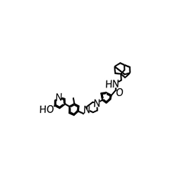 Cc1cc(CN2CCN(c3ccc(C(=O)NCC45CC6CC(CC(C6)C4)C5)cc3)CC2)ccc1-c1cncc(O)c1